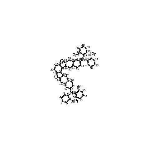 CC(C)c1ccccc1N(c1ccc2cc3c(cc2c1)oc1ccc2oc4cc5cc(N(c6ccccc6C(C)C)c6ccccc6C(C)C)ccc5cc4c2c13)c1ccccc1C(C)C